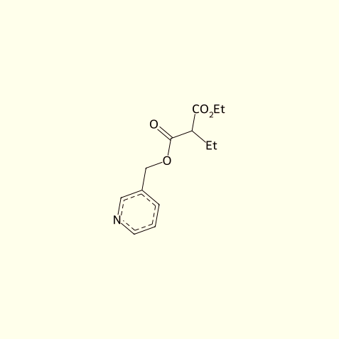 CCOC(=O)C(CC)C(=O)OCc1cccnc1